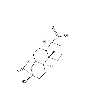 C=C1C[C@]23CC[C@@H]4[C@](C)(CCC[C@]4(C)C(=O)O)[C@H]2CC[C@@]1(O)C3